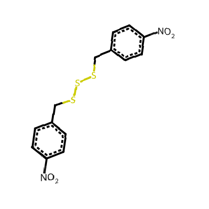 O=[N+]([O-])c1ccc(CSSSCc2ccc([N+](=O)[O-])cc2)cc1